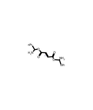 CCCC(N)OC(=O)/C=C/C(=O)OC(N)CCC